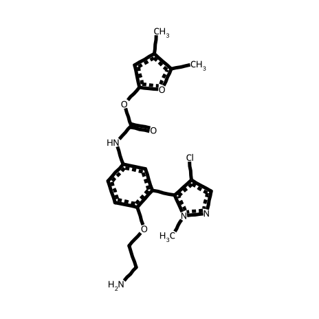 Cc1cc(OC(=O)Nc2ccc(OCCN)c(-c3c(Cl)cnn3C)c2)oc1C